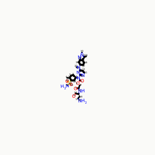 Cc1ccc(N(C(=O)OCC(=O)N[C@H](C=O)CCN)c2nccc(N(C)c3ccc4c(C)n(C)nc4c3)n2)cc1S(N)(=O)=O